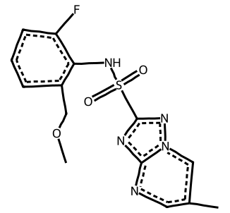 COCc1cccc(F)c1NS(=O)(=O)c1nc2ncc(C)cn2n1